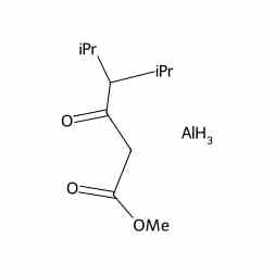 COC(=O)CC(=O)C(C(C)C)C(C)C.[AlH3]